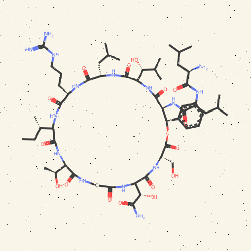 CC[C@H](C)C1NC(=O)[C@@H](CCCNC(=N)N)NC(=O)[C@H](CC(C)C)NC(=O)C([C@H](O)C(C)C)NC(=O)[C@@H](NC(=O)[C@H](CC(C)C)NC(=O)[C@H](N)CC(C)C)[C@@H](c2ccccc2)OC(=O)[C@H](CO)NC(=O)C([C@H](O)C(N)=O)NC(=O)CNC(=O)C([C@H](C)O)NC1=O